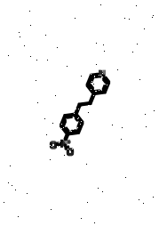 O=[N+]([O-])c1ccc(CCc2ccncc2)cc1